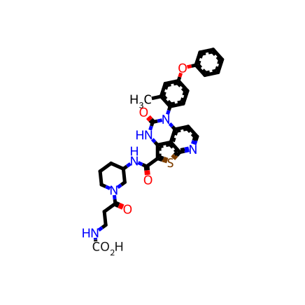 Cc1cc(Oc2ccccc2)ccc1N1C(=O)Nc2c(C(=O)NC3CCCN(C(=O)CCNC(=O)O)C3)sc3nccc1c23